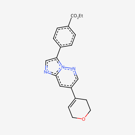 CCOC(=O)c1ccc(-c2cnc3cc(C4=CCOCC4)cnn23)cc1